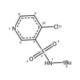 CC(C)(C)NS(=O)(=O)c1cnccc1Cl